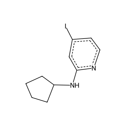 Ic1ccnc(NC2CCCC2)c1